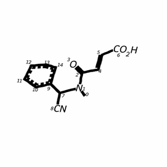 CN(C(=O)C=CC(=O)O)C(C#N)c1ccccc1